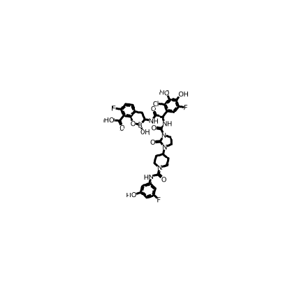 O=C(O)c1c(F)ccc2c1OB(O)C(NC(=O)C(NC(=O)N1CCN(C3CCN(C(=O)Nc4cc(O)cc(F)c4)CC3)C1=O)c1cc(F)c(O)c(O)c1Cl)C2